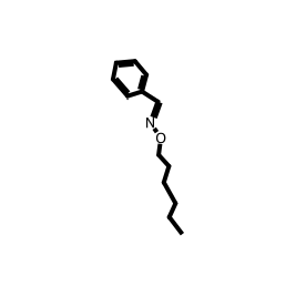 CCCCCCON=Cc1[c]cccc1